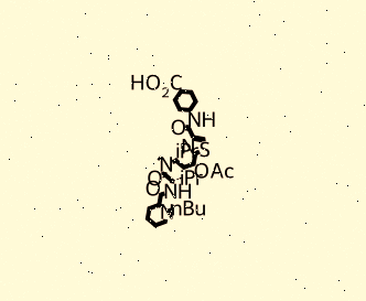 CCCCN1CCCCC1C(=O)N[C@H](C(=O)N(C)[C@H](C[C@@H](OC(C)=O)c1nc(C(=O)N[C@H]2CC[C@H](C(=O)O)CC2)cs1)C(C)C)C(C)C